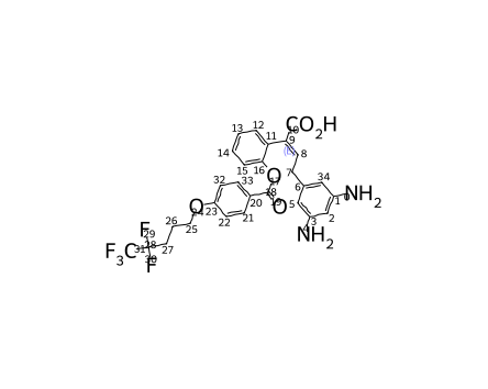 Nc1cc(N)cc(C/C=C(/C(=O)O)c2ccccc2OC(=O)c2ccc(OCCCC(F)(F)C(F)(F)F)cc2)c1